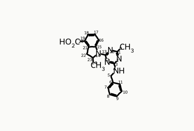 Cc1nc(NCc2ccccc2)nc(N2c3cccc(C(=O)O)c3CC2C)n1